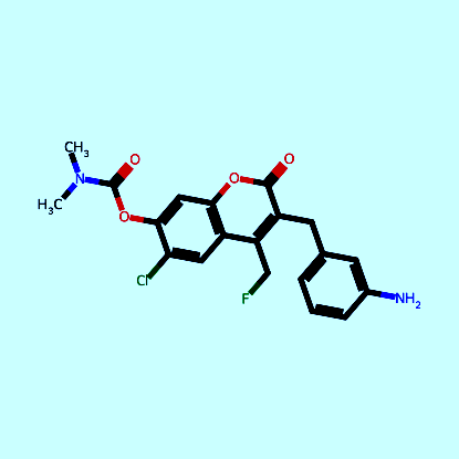 CN(C)C(=O)Oc1cc2oc(=O)c(Cc3cccc(N)c3)c(CF)c2cc1Cl